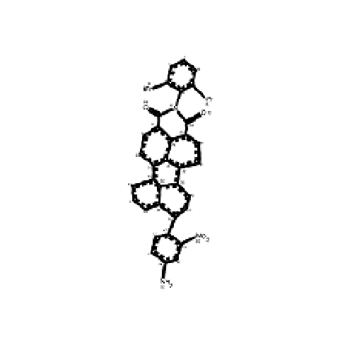 CC(C)c1cccc(C(C)C)c1N1C(=O)c2ccc3c4cccc5c(-c6ccc(N)cc6[N+](=O)[O-])ccc(c6ccc(c2c36)C1=O)c54